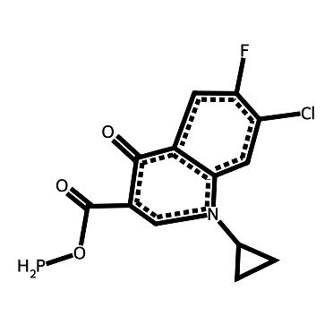 O=C(OP)c1cn(C2CC2)c2cc(Cl)c(F)cc2c1=O